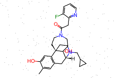 Cc1cc2c(cc1O)[C@@]13CCN(C(=O)Cc4ncccc4F)CC[C@@]1(O)[C@@H](C2)N(CC1CC1)CC3